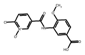 COc1ccc(C(=O)O)cc1NC(=O)c1ccc(Cl)[n+]([O-])c1